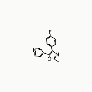 Cc1nc(-c2ccc(F)cc2)c(-c2ccncc2)o1